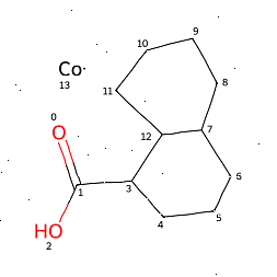 O=C(O)C1CCCC2CCCCC21.[Co]